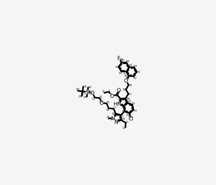 CCOC(=O)c1[nH]c2c(-c3c(CC)nn(C)c3CCCOCCO[Si](C)(C)C(C)(C)C)c(Cl)ccc2c1CCCOc1cccc2cc(F)ccc12